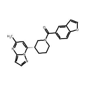 Cc1cc([C@H]2CCCN(C(=O)c3ccc4occc4c3)C2)n2nccc2n1